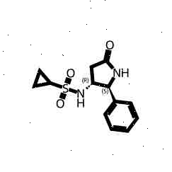 O=C1C[C@@H](NS(=O)(=O)C2CC2)[C@H](c2ccccc2)N1